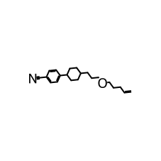 C=CCCCOCCCC1CCC(c2ccc(C#N)cc2)CC1